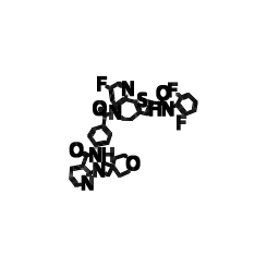 O=C(Nc1c(F)cccc1F)c1cc2c(s1)-c1ncc(F)cc1N(C(=O)c1ccc(NC(=O)c3cccnc3N3CC4(CCOCC4)C3)cc1)CC2